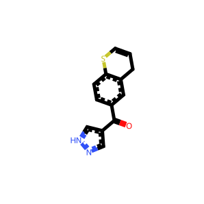 O=C(c1cn[nH]c1)c1ccc2c(c1)CC=CS2